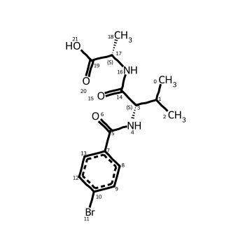 CC(C)[C@H](NC(=O)c1ccc(Br)cc1)C(=O)N[C@@H](C)C(=O)O